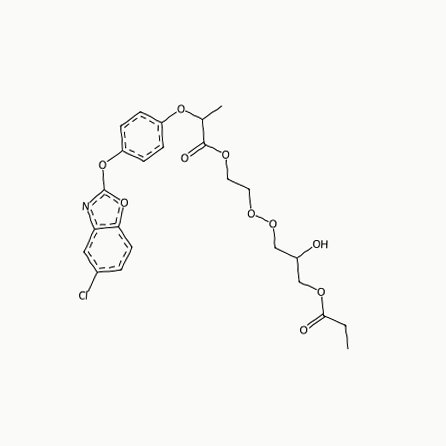 CCC(=O)OCC(O)COOCCOC(=O)C(C)Oc1ccc(Oc2nc3cc(Cl)ccc3o2)cc1